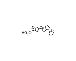 CC1(C)CCCC=C1c1cccc2c1CC[C@H]2Oc1ccc2c(c1)OCC2CC(=O)O